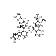 C=CC1C(CCc2cc(C)c3c(oc4nc(C)c(C)cc43)c2-c2cc(C)c(CC3CCCC3)c[n+]2C)c2ccccc2-c2cc(C(C)C)c([Si](C)(C)C)c[n+]21